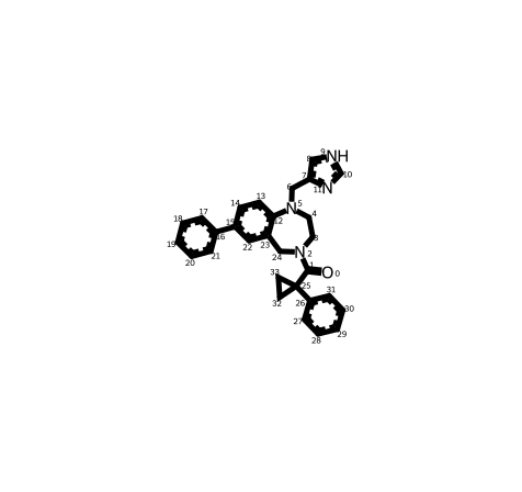 O=C(N1CCN(Cc2c[nH]cn2)c2ccc(-c3ccccc3)cc2C1)C1(c2ccccc2)CC1